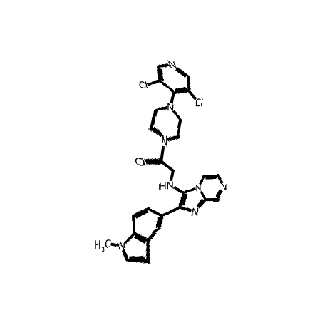 Cn1ccc2cc(-c3nc4cnccn4c3NCC(=O)N3CCN(c4c(Cl)cncc4Cl)CC3)ccc21